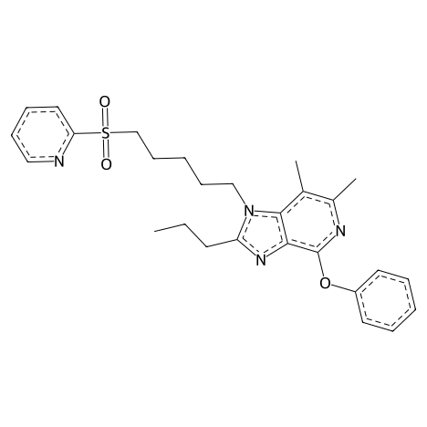 CCCc1nc2c(Oc3ccccc3)nc(C)c(C)c2n1CCCCCS(=O)(=O)c1ccccn1